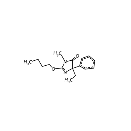 CCCCOC1=NC(CC)(c2ccccc2)C(=O)N1C